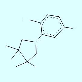 CC1(C)CB(c2cc(F)ccc2S)CC1(C)C